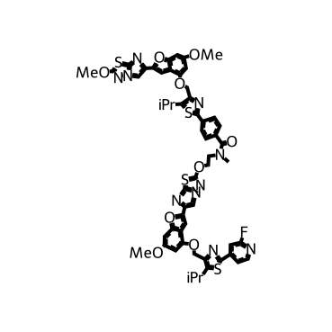 COc1cc(OCc2nc(-c3ccc(C(=O)N(C)CCOc4nn5cc(-c6cc7c(OCc8nc(-c9ccnc(F)c9)sc8C(C)C)cc(OC)cc7o6)nc5s4)cc3)sc2C(C)C)c2cc(-c3cn4nc(OC)sc4n3)oc2c1